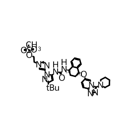 CC(C)(C)c1cc(NC(=O)N[C@H]2CC[C@@H](Oc3ccc4nnc(N5CCCCC5)n4c3)c3ccccc32)n(-c2cn(CCOS(C)(=O)=O)cn2)n1